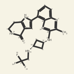 Cc1nc2cccc(-c3cc4c([nH]3)CCNC4=O)c2nc1N[C@H]1C[C@@H](NCC(F)(F)F)C1